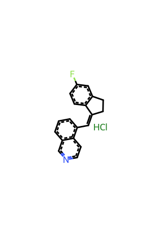 Cl.Fc1ccc2c(c1)CC/C2=C/c1cccc2cnccc12